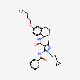 O=C(Nc1c2c(nn1CCC1CC1)C[C@]1(CCCc3cc(OCCCC(F)(F)F)ccc31)NC2=O)c1ccccc1